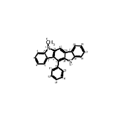 Cn1c2ccccc2c2c(-c3ccccc3)c3sc4ccccc4c3cc21